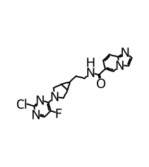 O=C(NCCC1C2CN(c3nc(Cl)ncc3F)CC12)c1ccc2nccn2c1